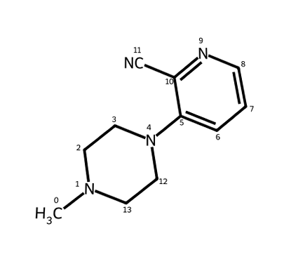 CN1CCN(c2cccnc2C#N)CC1